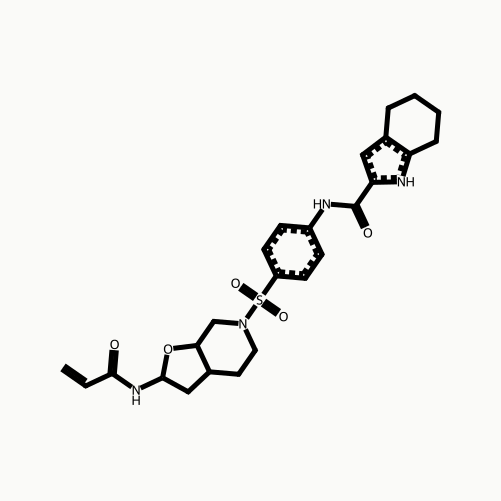 C=CC(=O)NC1CC2CCN(S(=O)(=O)c3ccc(NC(=O)c4cc5c([nH]4)CCCC5)cc3)CC2O1